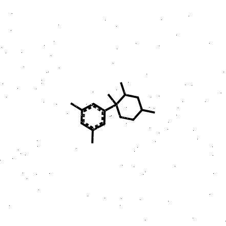 Cc1cc(C)cc(C2(C)CCC(C)CC2C)c1